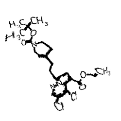 CCOC(=O)c1cc(CCC2CCN(C(=O)OC(C)(C)C)CC2)n2ncc(Cl)c(Cl)c12